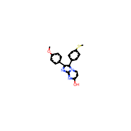 COc1ccc(-c2nc3nc(O)ccn3c2-c2ccc(SC)cc2)cc1